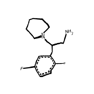 NCC(c1cc(F)ccc1F)N1CCCCC1